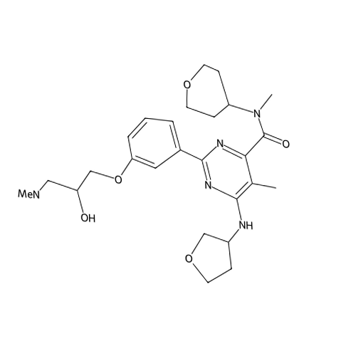 CNCC(O)COc1cccc(-c2nc(NC3CCOC3)c(C)c(C(=O)N(C)C3CCOCC3)n2)c1